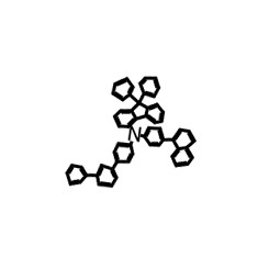 c1ccc(-c2cccc(-c3ccc(N(c4ccc(-c5cccc6ccccc56)cc4)c4cccc5c4-c4ccccc4C5(c4ccccc4)c4ccccc4)cc3)c2)cc1